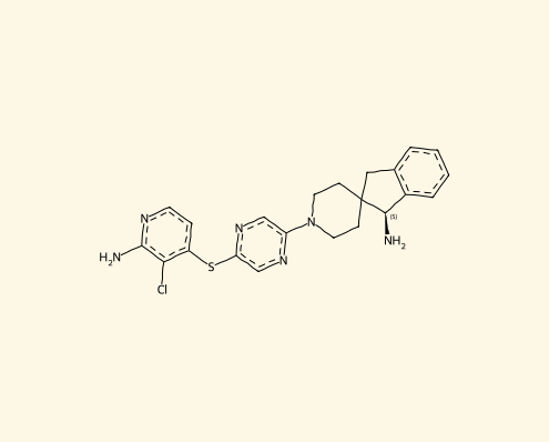 Nc1nccc(Sc2cnc(N3CCC4(CC3)Cc3ccccc3[C@H]4N)cn2)c1Cl